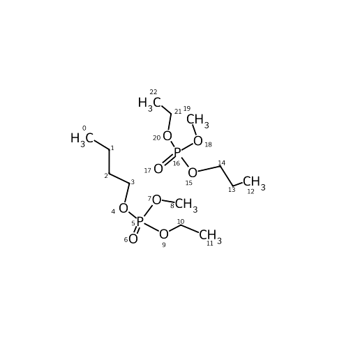 CCCCOP(=O)(OC)OCC.CCCOP(=O)(OC)OCC